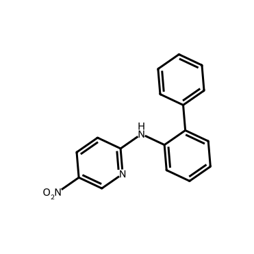 O=[N+]([O-])c1ccc(Nc2ccccc2-c2ccccc2)nc1